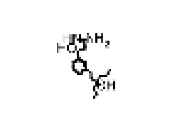 CCCC(O)(CCC)CCc1cccc(C(O)CC(=N)N)c1